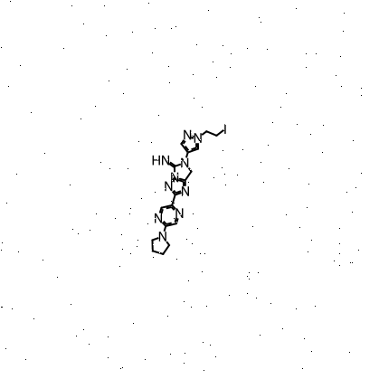 N=C1N(c2cnn(CCI)c2)Cc2nc(-c3cnc(N4CCCC4)cn3)nn21